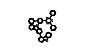 c1ccc(-c2nc(-c3ccccc3)nc(-c3ccc(-c4ccccc4)c(-n4c5ccccc5c5cc(-c6cccc7oc8ccccc8c67)ccc54)c3)n2)cc1